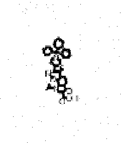 O=C(O)c1cn(C2CC2)c2c(OC(F)F)c(-c3cc4c(s3)CN(C(c3ccccc3)(c3ccccc3)c3ccccc3)CC4)ccc2c1=O